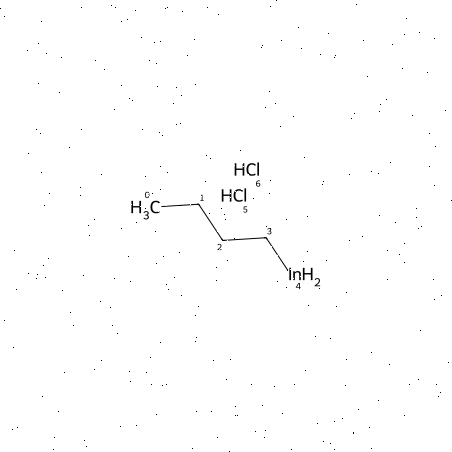 CCC[CH2][InH2].Cl.Cl